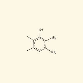 Bc1cc(C)c(C)c(S)c1C(C)(C)C